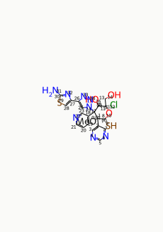 CO[C@@]1(c2cncnc2)[C@@H](S)O[C@](Cl)(CO)[C@H](O)C1(c1cccnc1)n1cc(-c2csc(N)n2)nn1